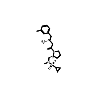 Cc1cccc(C[C@@H](N)CC(=O)N2CCC[C@H]2CN(C)S(=O)(=O)C2CC2)c1